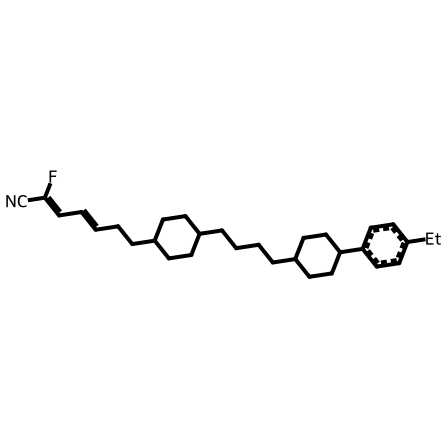 CCc1ccc(C2CCC(CCCCC3CCC(CCC=CC=C(F)C#N)CC3)CC2)cc1